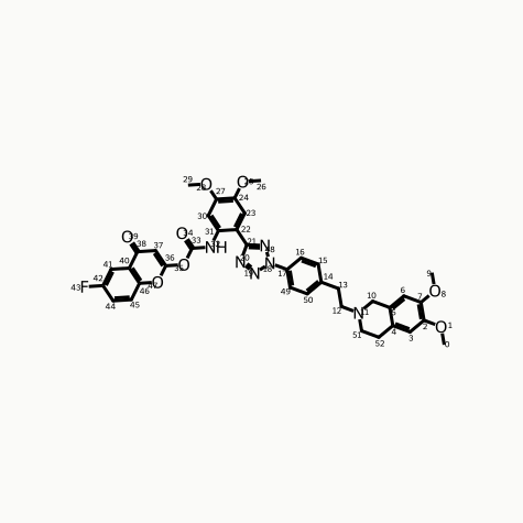 COc1cc2c(cc1OC)CN(CCc1ccc(-n3nnc(-c4cc(OC)c(OC)cc4NC(=O)Oc4cc(=O)c5cc(F)ccc5o4)n3)cc1)CC2